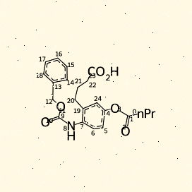 CCCC(=O)Oc1ccc(NC(=O)OCc2ccccc2)c(CCCC(=O)O)c1